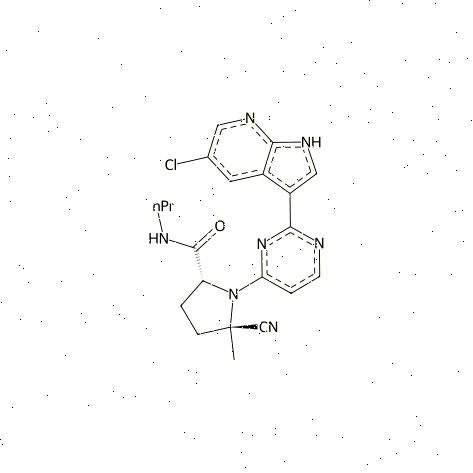 CCCNC(=O)[C@H]1CC[C@](C)(C#N)N1c1ccnc(-c2c[nH]c3ncc(Cl)cc23)n1